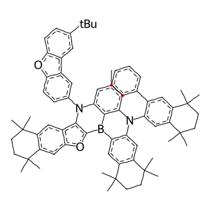 Cc1cc2c3c(c1)N(c1ccc4oc5ccc(C(C)(C)C)cc5c4c1)c1c(oc4cc5c(cc14)C(C)(C)CCC5(C)C)B3c1cc3c(cc1N2c1cc2c(cc1-c1ccccc1)C(C)(C)CCC2(C)C)C(C)(C)CCC3(C)C